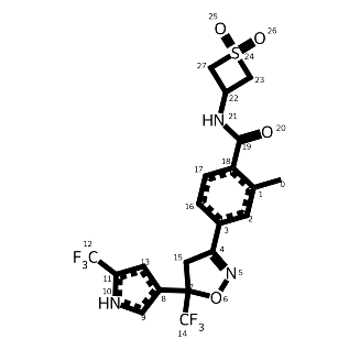 Cc1cc(C2=NOC(c3c[nH]c(C(F)(F)F)c3)(C(F)(F)F)C2)ccc1C(=O)NC1CS(=O)(=O)C1